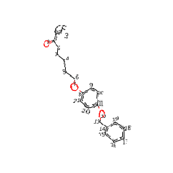 O=C(CCCCCOc1ccc(OCc2ccccc2)cc1)C(F)(F)F